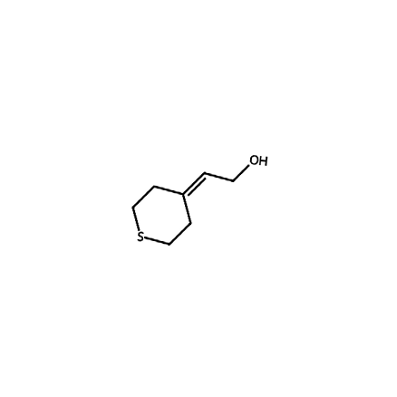 OCC=C1CCSCC1